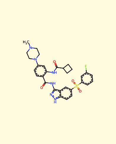 CN1CCN(c2ccc(C(=O)Nc3n[nH]c4ccc(S(=O)(=O)c5cccc(F)c5)cc34)c(NC(=O)C3CCC3)c2)CC1